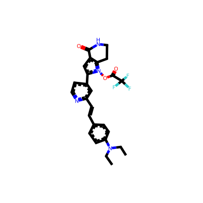 CCN(CC)c1ccc(C=Cc2cc(-c3cc4c(n3OC(=O)C(F)(F)F)CCNC4=O)ccn2)cc1